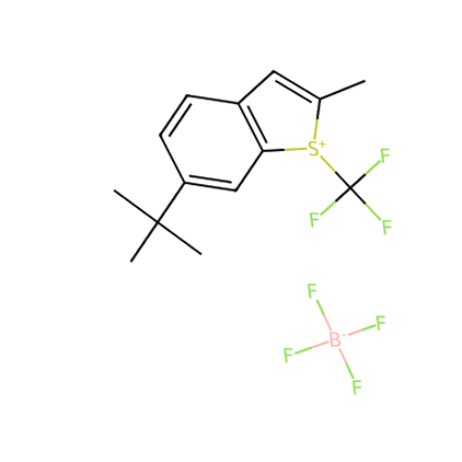 Cc1cc2ccc(C(C)(C)C)cc2[s+]1C(F)(F)F.F[B-](F)(F)F